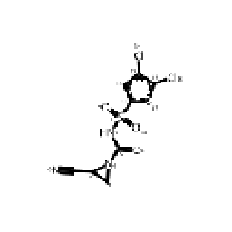 N#CC1CN1C(=O)NS(=O)(=O)c1cc(Cl)c(Cl)s1